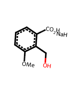 COc1cccc(C(=O)O)c1CO.[NaH]